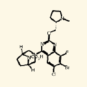 CN1CCC[C@H]1COc1nc(N2C[C@H]3CC[C@@H](C2)N3C(=O)O)c2cc(Cl)c(Br)c(F)c2n1